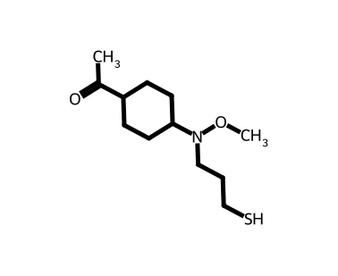 CON(CCCS)C1CCC(C(C)=O)CC1